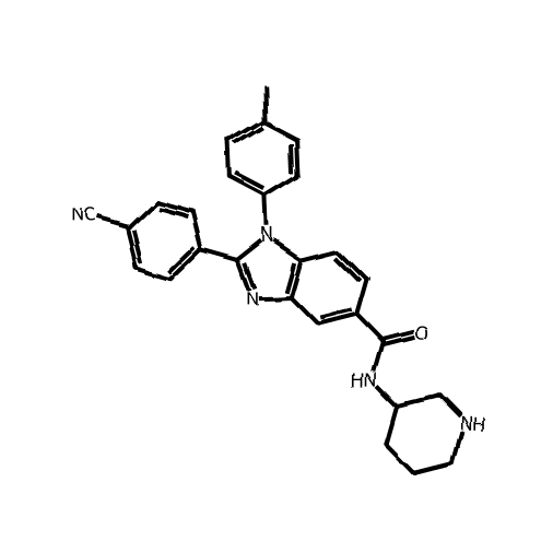 Cc1ccc(-n2c(-c3ccc(C#N)cc3)nc3cc(C(=O)NC4CCCNC4)ccc32)cc1